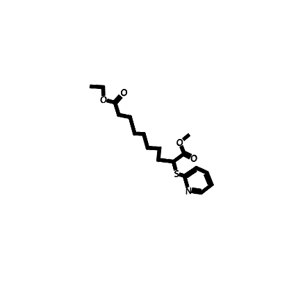 CCOC(=O)CCCCCCCC(Sc1ccccn1)C(=O)OC